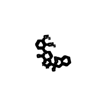 Cc1c(-n2ccn3c(S(=O)(=O)Cc4ccccc4Br)nnc3c2=O)cccc1C(F)(F)F